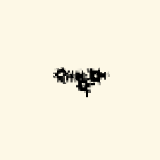 Cc1cc(I)ccc1Nc1c(C(=O)NOC2CCCCO2)ccc(F)c1F